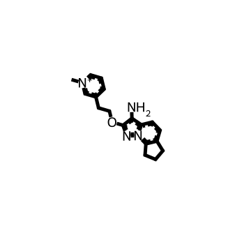 C[n+]1cccc(CCOc2nn3c4c(ccc3c2N)CCC4)c1